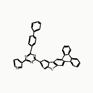 c1ccc(-c2ccc(-c3nc(-c4cccnc4)nc(-c4ccc5oc6cc7c8ccccc8c8ccccc8c7cc6c5c4)n3)cc2)cc1